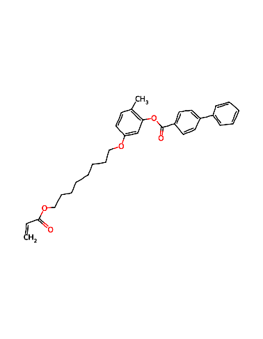 C=CC(=O)OCCCCCCCCOc1ccc(C)c(OC(=O)c2ccc(-c3ccccc3)cc2)c1